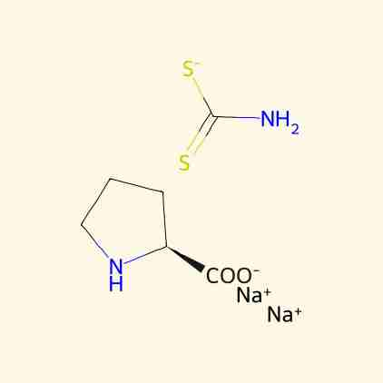 NC(=S)[S-].O=C([O-])[C@@H]1CCCN1.[Na+].[Na+]